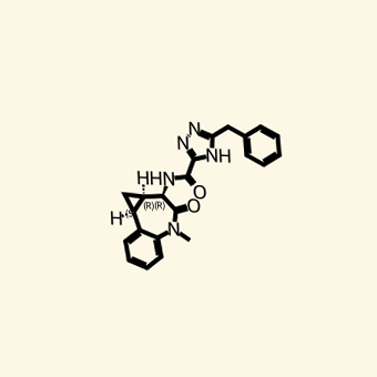 CN1C(=O)[C@H](NC(=O)c2nnc(Cc3ccccc3)[nH]2)[C@@H]2C[C@@H]2c2ccccc21